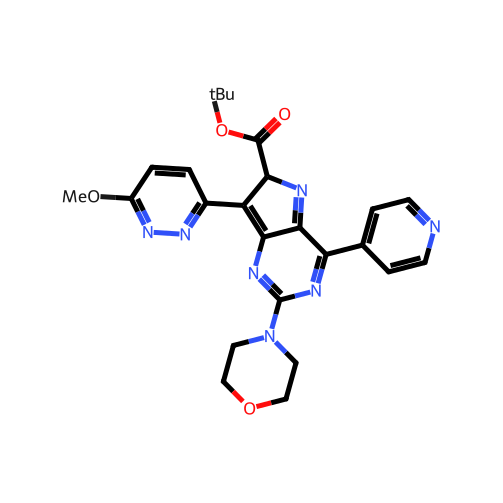 COc1ccc(C2=c3nc(N4CCOCC4)nc(-c4ccncc4)c3=NC2C(=O)OC(C)(C)C)nn1